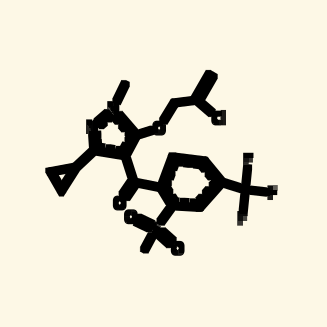 C=C(Cl)COc1c(C(=O)c2ccc(C(F)(F)F)cc2S(C)(=O)=O)c(C2CC2)nn1C